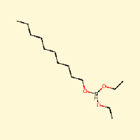 CCCCCCCCCCO[SiH](OCC)OCC